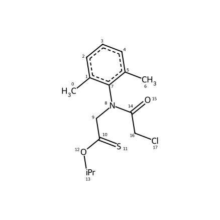 Cc1cccc(C)c1N(CC(=S)OC(C)C)C(=O)CCl